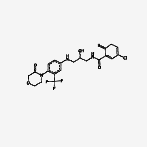 O=C(NCC(O)CNc1ccc(N2CCOCC2=O)c(C(F)(F)F)c1)C1=CC(Cl)=CCC1=S